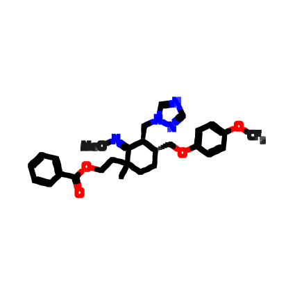 CO/N=C1/[C@@H](Cn2cncn2)[C@H](COc2ccc(OC(F)(F)F)cc2)CCC1(C)CCOC(=O)c1ccccc1